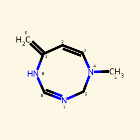 C=C1/C=C\N(C)C/N=C\N1